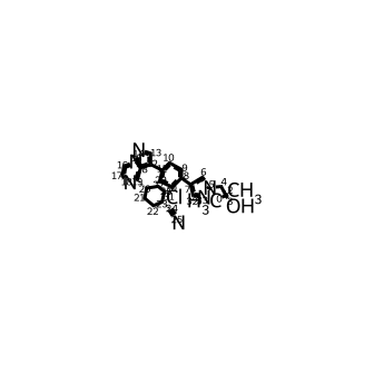 CC(C)(O)Cn1cc(-c2ccc(-c3cnn4ccnc([C@H]5CC[C@@H](C#N)CC5)c34)cc2Cl)cn1